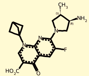 C[C@H]1CN(c2nc3c(cc2F)c(=O)c(C(=O)O)cn3C23CC(C2)C3)C[C@@H]1N